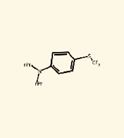 CCCN(CCC)c1ccc(SC(F)(F)F)cc1